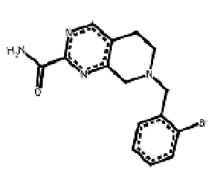 NC(=O)c1n[c]c2c(n1)CN(Cc1ccccc1Br)CC2